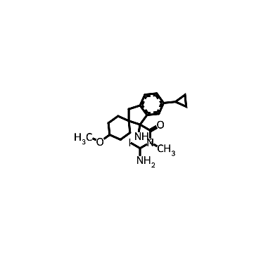 COC1CCC2(CC1)Cc1ccc(C3CC3)cc1C2(N)C(=O)N(C)C(N)I